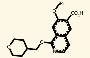 CC(C)Oc1cc2c(OCC3CCOCC3)nccc2cc1C(=O)O